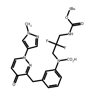 Cn1cc(-n2ccc(=O)c(Cc3cccc(N(CC(F)(F)CNC(=O)OC(C)(C)C)C(=O)O)c3)n2)cn1